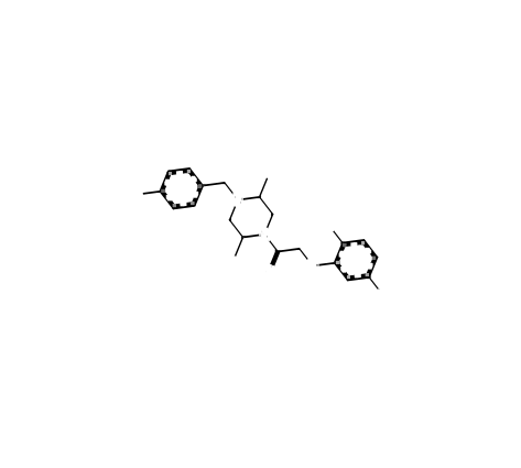 CC1CN(C(=O)COc2cc(F)ccc2F)C(C)CN1Cc1ccc(F)cc1